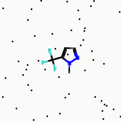 Cn1nccc1C(F)(F)F